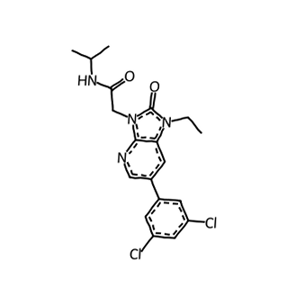 CCn1c(=O)n(CC(=O)NC(C)C)c2ncc(-c3cc(Cl)cc(Cl)c3)cc21